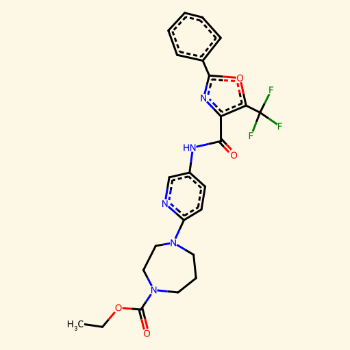 CCOC(=O)N1CCCN(c2ccc(NC(=O)c3nc(-c4ccccc4)oc3C(F)(F)F)cn2)CC1